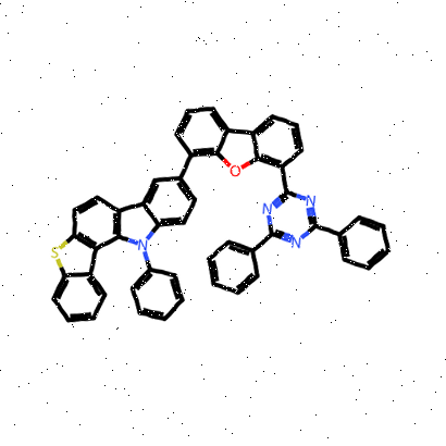 c1ccc(-c2nc(-c3ccccc3)nc(-c3cccc4c3oc3c(-c5ccc6c(c5)c5ccc7sc8ccccc8c7c5n6-c5ccccc5)cccc34)n2)cc1